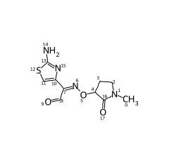 CN1CCC(ON=C([C]=O)c2csc(N)n2)C1=O